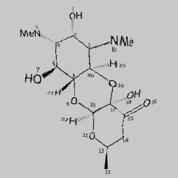 CNC1[C@@H](O)[C@@H](NC)[C@H](O)[C@H]2O[C@@H]3O[C@H](C)CC(=O)[C@]3(O)O[C@H]12